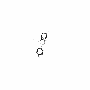 CC(=O)N[C@@H]1C[C@@H]2C[C@H]1[C@@H]1CN(c3ccc(C#N)c(C(F)(F)F)c3)S(O)(O)[C@]21C